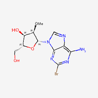 CO[C@@H]1[C@H](O)[C@@H](CO)O[C@H]1n1cnc2c(N)nc(Br)nc21